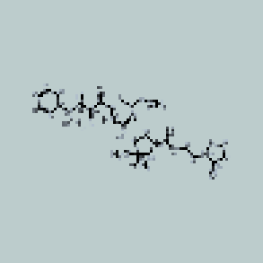 CCCC[C@H](NC(=O)O[C@@H]1CN(C(=O)OCCN2CCCC2=O)CC1(C)C)C(=O)C(=O)N[C@H](C)c1ccccc1